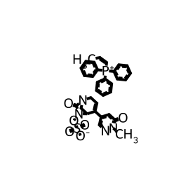 C/C=C\[P+](c1ccccc1)(c1ccccc1)c1ccccc1.Cn1ncc(C2=CCN3CC2N(OS(=O)(=O)[O-])C3=O)cc1=O